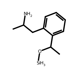 CC(N)Cc1ccccc1C(C)O[SiH3]